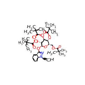 C#Cn1nc(O[C@@H]2O[C@H](COC(=O)C(C)(C)C)[C@@H](OC(=O)C(C)(C)C)[C@H](OC(=O)C(C)(C)C)[C@H]2OC(=O)C(C)(C)C)c2ccccc21